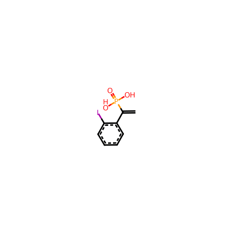 C=C(c1ccccc1I)P(=O)(O)O